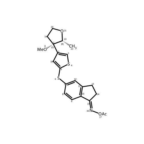 CO[C@]1(c2csc(Sc3ccc4c(c3)CCC4=NOC(C)=O)c2)CCO[C@@H]1C